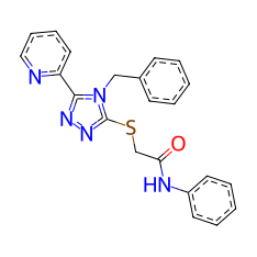 O=C(CSc1nnc(-c2ccccn2)n1Cc1ccccc1)Nc1ccccc1